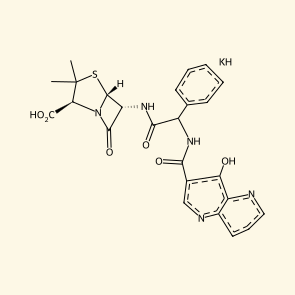 CC1(C)S[C@@H]2[C@H](NC(=O)C(NC(=O)c3cnc4cccnc4c3O)c3ccccc3)C(=O)N2[C@H]1C(=O)O.[KH]